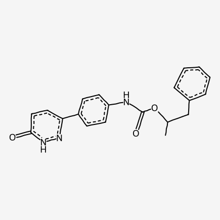 CC(Cc1ccccc1)OC(=O)Nc1ccc(-c2ccc(=O)[nH]n2)cc1